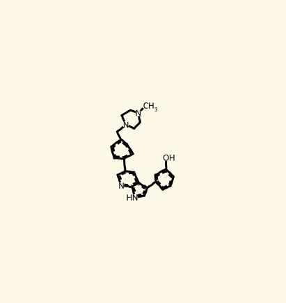 CN1CCN(Cc2ccc(-c3cnc4[nH]cc(-c5cccc(O)c5)c4c3)cc2)CC1